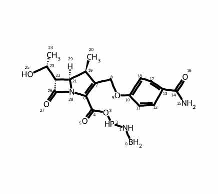 BNPOC(=O)C1=C(COc2ccc(C(N)=O)cc2)[C@H](C)[C@@H]2[C@@H]([C@@H](C)O)C(=O)N12